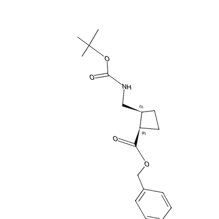 CC(C)(C)OC(=O)NC[C@H]1CC[C@H]1C(=O)OCc1ccccc1